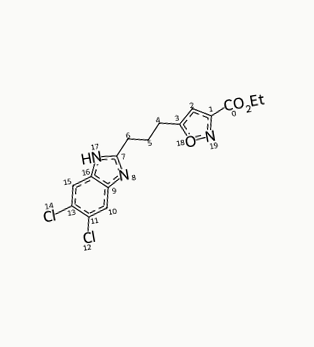 CCOC(=O)c1cc(CCCc2nc3cc(Cl)c(Cl)cc3[nH]2)on1